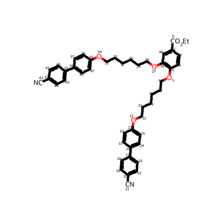 CCOC(=O)c1ccc(OCCCCCCOc2ccc(-c3ccc(C#N)cc3)cc2)c(OCCCCCCOc2ccc(-c3ccc(C#N)cc3)cc2)c1